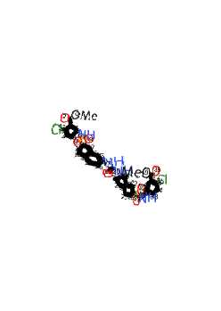 COC(=O)c1cc(NS(=O)(=O)c2ccc3ccc(NC(=O)Nc4ccc5ccc(S(=O)(=O)Nc6ccc(Cl)c(C(=O)OC)c6)cc5c4)cc3c2)ccc1Cl